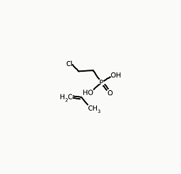 C=CC.O=P(O)(O)CCCl